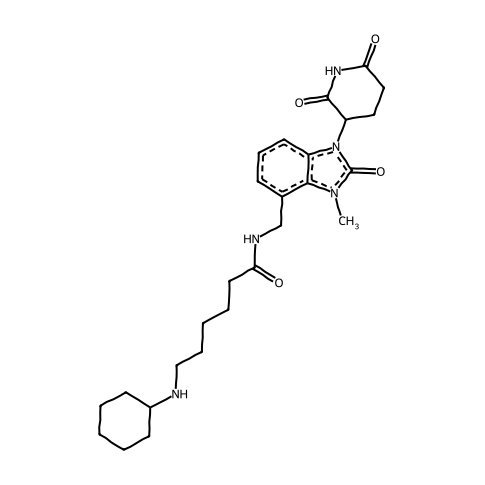 Cn1c(=O)n(C2CCC(=O)NC2=O)c2cccc(CNC(=O)CCCCCNC3CCCCC3)c21